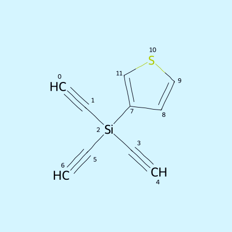 C#C[Si](C#C)(C#C)c1ccsc1